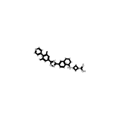 Cc1cc(-c2nc(-c3ccc4c(c3)CCCC4N[C@H]3C[C@H](C(=O)O)C3)no2)cc(C)c1-c1ccncc1